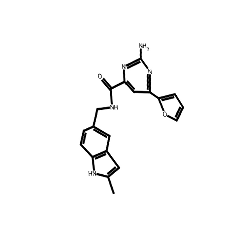 Cc1cc2cc(CNC(=O)c3cc(-c4ccco4)nc(N)n3)ccc2[nH]1